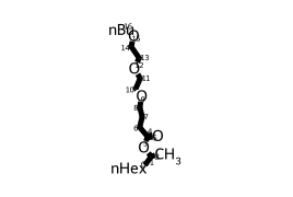 CCCCCCC(C)OC(=O)CCCOCCOCCOCCCC